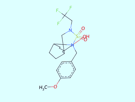 COc1ccc(CN2C3(CN(CC(F)(F)F)S2(=O)=O)C2CCC(O)CC3CC2)cc1